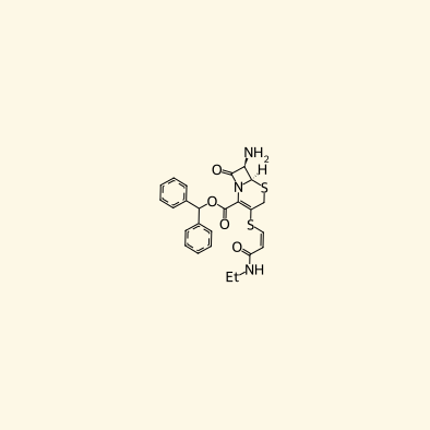 CCNC(=O)/C=C\SC1=C(C(=O)OC(c2ccccc2)c2ccccc2)N2C(=O)[C@@H](N)[C@H]2SC1